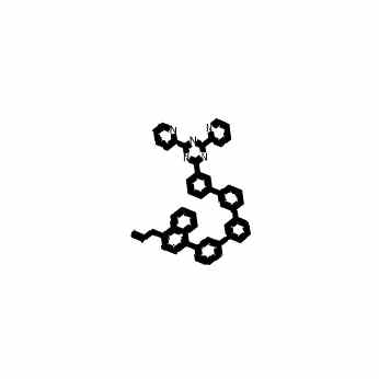 C=CCc1ccc(-c2cccc(-c3cccc(-c4cccc(-c5cccc(-c6nc(-c7ccccn7)nc(-c7ccccn7)n6)c5)c4)c3)c2)c2ccccc12